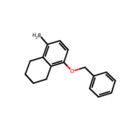 Bc1ccc(OCc2ccccc2)c2c1CCCC2